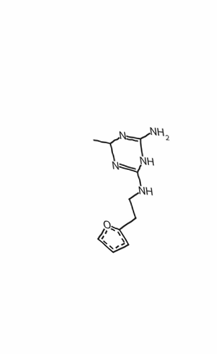 CC1N=C(N)NC(NCCc2ccco2)=N1